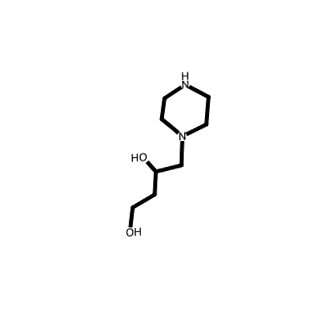 OCCC(O)CN1CCNCC1